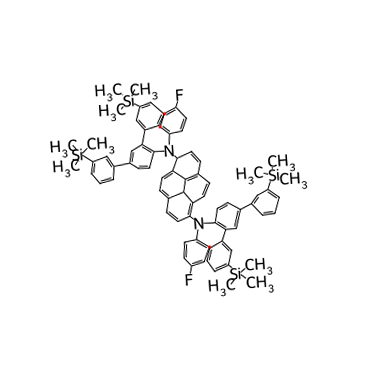 C[Si](C)(C)c1cccc(-c2ccc(N(C3=C4C=CC5=C6C(=CC=C(C=C3)C46)C(N(c3ccc(F)cc3)c3ccc(-c4cccc([Si](C)(C)C)c4)cc3-c3cccc([Si](C)(C)C)c3)C=C5)c3ccc(F)cc3)c(-c3cccc([Si](C)(C)C)c3)c2)c1